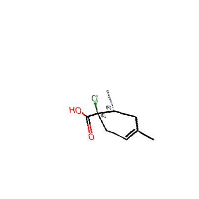 CC1=CC[C@](Cl)(C(=O)O)[C@H](C)C1